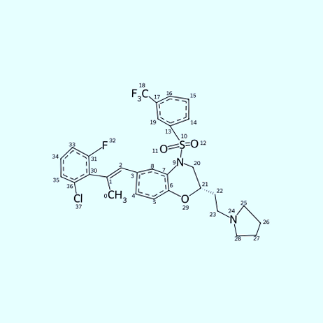 C/C(=C\c1ccc2c(c1)N(S(=O)(=O)c1cccc(C(F)(F)F)c1)C[C@H](CCN1CCCC1)O2)c1c(F)cccc1Cl